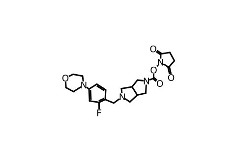 O=C(ON1C(=O)CCC1=O)N1CC2CN(Cc3ccc(N4CCOCC4)cc3F)CC2C1